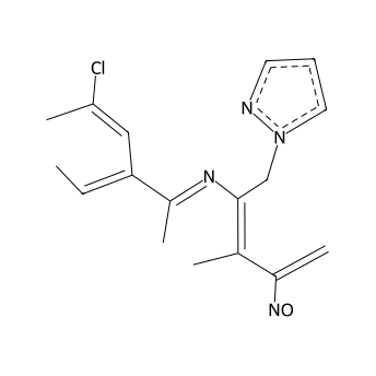 C=C(N=O)/C(C)=C(Cn1cccn1)/N=C(C)/C(/C=C(\C)Cl)=C/C